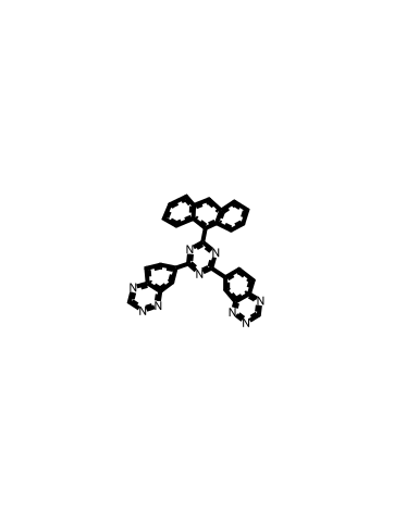 c1ccc2c(-c3nc(-c4ccc5ncnnc5c4)nc(-c4ccc5ncnnc5c4)n3)c3ccccc3cc2c1